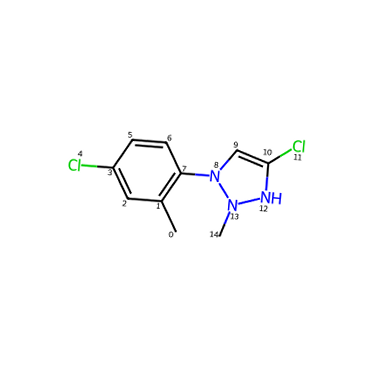 Cc1cc(Cl)ccc1N1C=C(Cl)NN1C